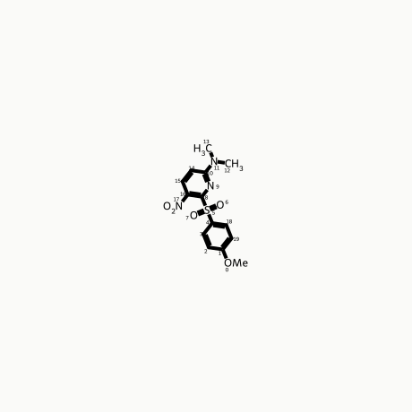 COc1ccc(S(=O)(=O)c2nc(N(C)C)ccc2[N+](=O)[O-])cc1